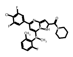 Cc1cccc(F)c1N(C)C1=CC(c2cc(F)c(Cl)c(F)c2)=NC2=CC(C(=O)N3CCCCC3)NN21